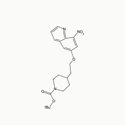 CC(C)(C)OC(=O)N1CCC(CCOc2cc([N+](=O)[O-])c3ncccc3c2)CC1